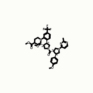 COC[C@H]1CN(C(=O)[C@@H]2CN(c3ccnc(C)n3)C[C@H]2c2ccc(OC)cc2)C[C@@H]1c1ccc(C(F)(F)F)cc1N1CCC(C(=O)OC)CC1